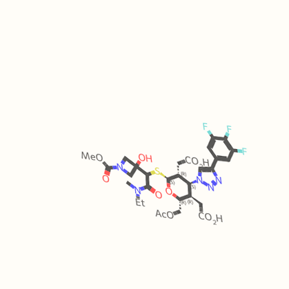 CCN(C)C(=O)C(S[C@@H]1O[C@@H](COC(C)=O)[C@H](CC(=O)O)[C@H](n2cc(-c3cc(F)c(F)c(F)c3)nn2)[C@H]1CC(=O)O)C1(O)CN(C(=O)OC)C1